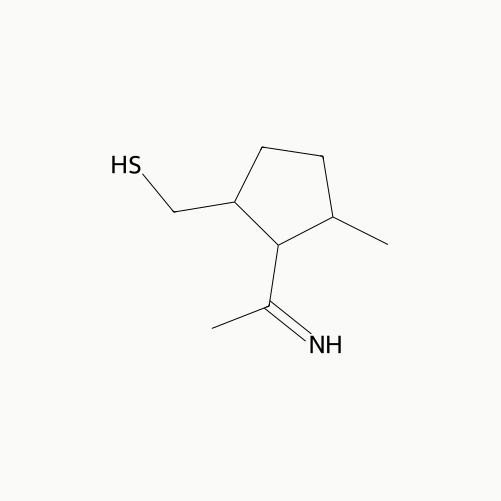 CC(=N)C1C(C)CCC1CS